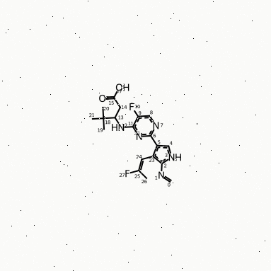 C=Nc1[nH]cc(-c2ncc(F)c(NC(CC(=O)O)C(C)(C)C)n2)c1/C=C(\C)F